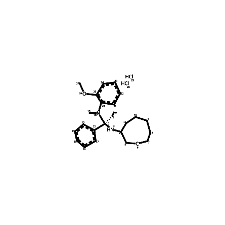 CC[C@](NC1CCCCCCC1)(c1ccccc1)N(C)c1ccccc1OC.Cl.Cl